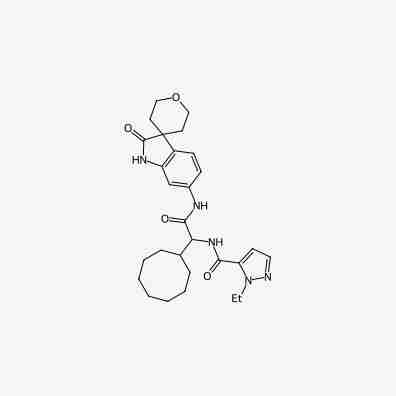 CCn1nccc1C(=O)NC(C(=O)Nc1ccc2c(c1)NC(=O)C21CCOCC1)C1CCCCCCC1